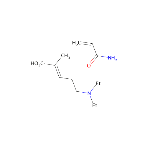 C=CC(N)=O.CCN(CC)CCC=C(C)C(=O)O